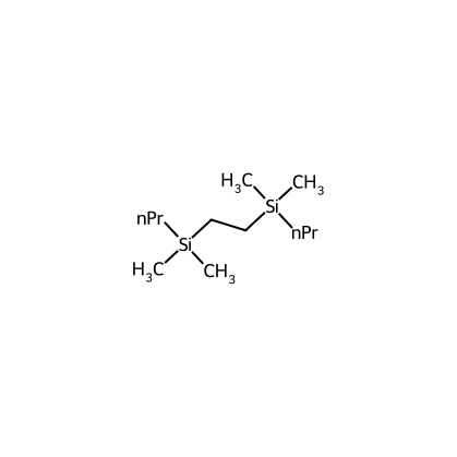 CCC[Si](C)(C)CC[Si](C)(C)CCC